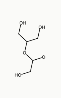 [O]C(CO)OC(CO)CO